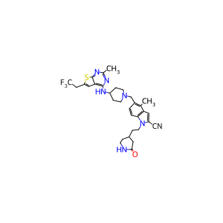 Cc1nc(NC2CCN(Cc3ccc4c(cc(C#N)n4CCC4CCNC(=O)C4)c3C)CC2)c2cc(CC(F)(F)F)sc2n1